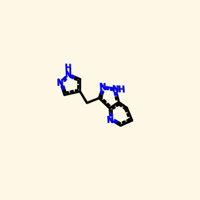 c1cnc2c(Cc3cn[nH]c3)n[nH]c2c1